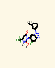 CCc1cccc(-n2nnc3cc(F)c(-n4c(=O)cc(C(F)(F)F)n(C)c4=O)cc32)c1